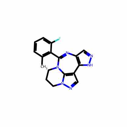 Cc1cccc(F)c1C1=Nc2cn[nH]c2-c2cnn3c2N1CCC3